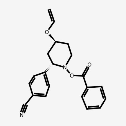 C=CO[C@H]1CCN(OC(=O)c2ccccc2)[C@H](c2ccc(C#N)cc2)C1